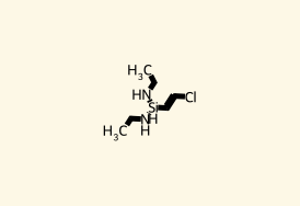 CCN[SiH](C=CCl)NCC